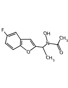 CC(=O)N(O)C(C)c1cc2cc(F)ccc2o1